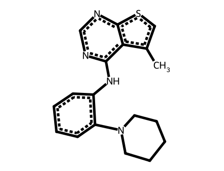 Cc1csc2ncnc(Nc3ccccc3N3CCCCC3)c12